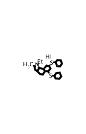 CCn1c(C)cc2ccc3c(Sc4ccccc4)cc(Sc4ccccc4)cc3c21.I